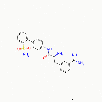 N=C(N)c1cccc(C[C@H](N)C(=O)Nc2ccc(-c3ccccc3S(N)(=O)=O)cc2)c1